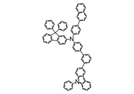 c1ccc(-n2c3ccccc3c3cc(-c4cccc(-c5ccc(N(c6ccc(-c7ccc8ccccc8c7)cc6)c6ccc7c(c6)C(c6ccccc6)(c6ccccc6)c6ccccc6-7)cc5)c4)ccc32)cc1